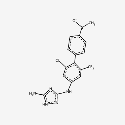 C[S+]([O-])c1ccc(-c2c(Cl)cc(Nc3n[nH]c(N)n3)cc2C(F)(F)F)cc1